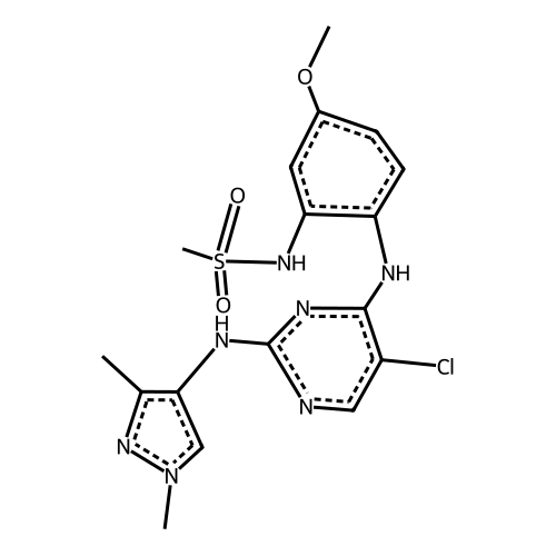 COc1ccc(Nc2nc(Nc3cn(C)nc3C)ncc2Cl)c(NS(C)(=O)=O)c1